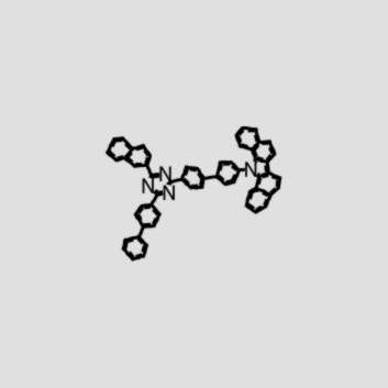 c1ccc(-c2ccc(-c3nc(-c4ccc(-c5ccc(-n6c7c8ccccc8ccc7c7ccc8ccccc8c76)cc5)cc4)nc(-c4ccc5ccccc5c4)n3)cc2)cc1